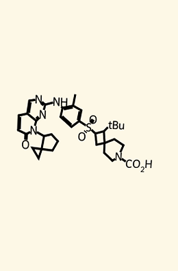 Cc1cc(S(=O)(=O)C2CC3(CCN(C(=O)O)CC3)C2C(C)(C)C)ccc1Nc1ncc2ccc(=O)n(C3CCCC34CC4)c2n1